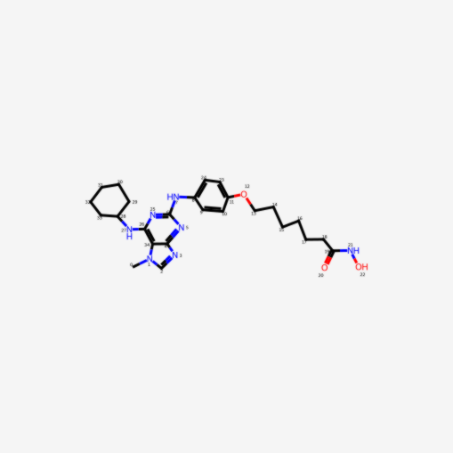 Cn1cnc2nc(Nc3ccc(OCCCCCCC(=O)NO)cc3)nc(NC3CCCCC3)c21